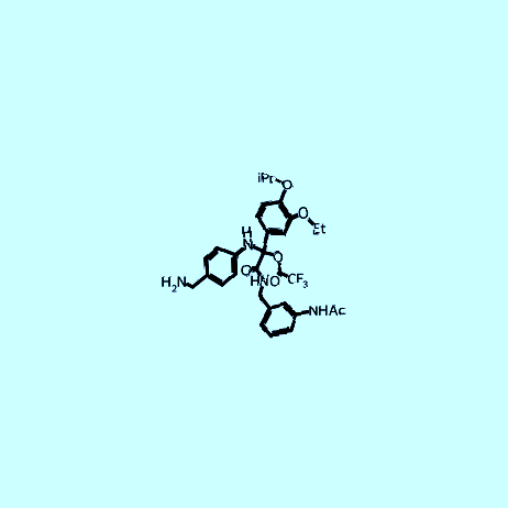 CCOc1cc(C(Nc2ccc(CN)cc2)(OC(=O)C(F)(F)F)C(=O)NCc2cccc(NC(C)=O)c2)ccc1OC(C)C